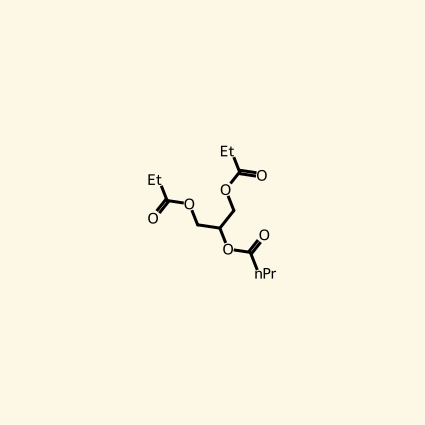 CCCC(=O)OC(COC(=O)CC)COC(=O)CC